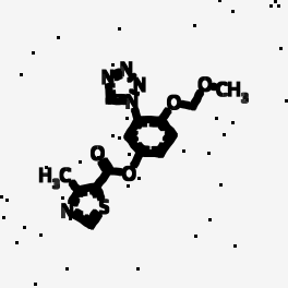 COCOc1ccc(OC(=O)c2scnc2C)cc1-n1cnnn1